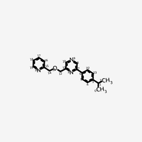 CC(C)c1ccc(-c2cncc(COCc3ccccn3)n2)cc1